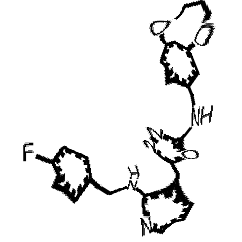 Fc1ccc(CNc2ncccc2-c2nnc(Nc3ccc4c(c3)OCCO4)o2)cc1